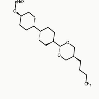 CCCCCCO[C@H]1CC[C@H]([C@H]2CC[C@H]([C@H]3OC[C@H](CCCC(F)(F)F)CO3)CC2)CC1